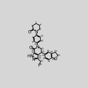 O=C1CCCCN1c1ccc(N2CC(c3ccc4c(c3)CCO4)c3c(CF)n[nH]c3C2=O)cc1